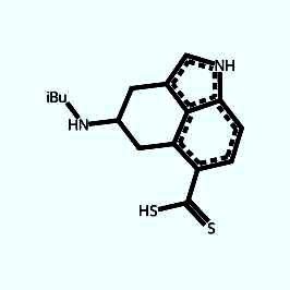 CCC(C)NC1Cc2c[nH]c3ccc(C(=S)S)c(c23)C1